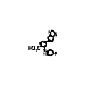 O=C(O)c1ccc(-c2ccc3nccnc3c2)cc1Nc1ccc(F)cc1